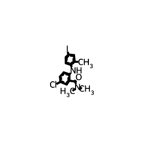 Cc1cc(I)ccc1Nc1ccc(Cl)cc1C(=O)N(C)C